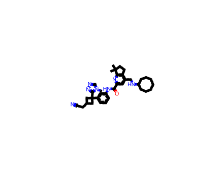 Cn1cnnc1C1(c2cccc(NC(=O)c3cc(CNC4CCCCCCC4)c4c(n3)C(C)(C)CC4)c2)CC(CC#N)C1